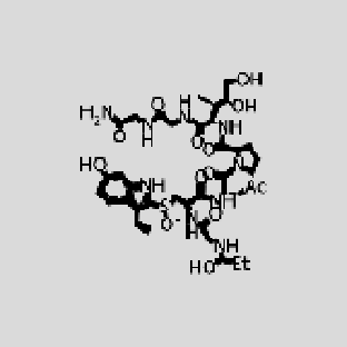 C=Cc1c([S+]([O-])CC(NC(=O)CNC(O)CC)C(=O)N[C@@H](CC(C)=O)C(=O)N2CCCC2C(=O)N[C@H](C(=O)NCC(=O)NCC(N)=O)[C@@H](C)[C@@H](O)CO)[nH]c2cc(O)ccc12